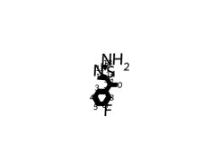 CC(c1cccc(F)c1)c1cnc(N)s1